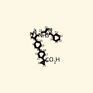 Cn1ncc(-c2ccc(-c3ccc(C4(C(=O)O)CC4)cc3)cc2)c1NCc1cnc(-c2ccccc2)s1